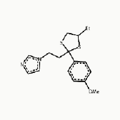 CCC1CSC(CCn2ccnc2)(c2ccc(OC)cc2)S1